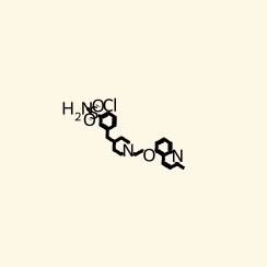 Cc1ccc2c(OCCN3CCC(Cc4ccc(Cl)c(S(N)(=O)=O)c4)CC3)cccc2n1